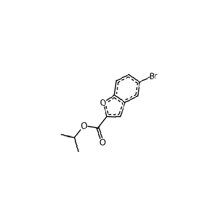 CC(C)OC(=O)c1cc2cc(Br)ccc2o1